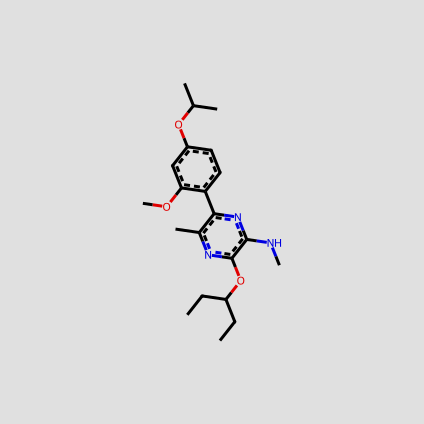 CCC(CC)Oc1nc(C)c(-c2ccc(OC(C)C)cc2OC)nc1NC